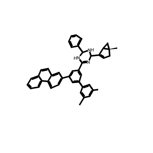 Cc1cc(C)cc(-c2cc(C3=NC(C4=CC[C@@]5(C)CC45)NC(c4ccccc4)N3)cc(-c3ccc4c(ccc5ccccc54)c3)c2)c1